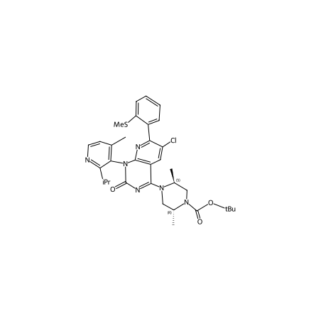 CSc1ccccc1-c1nc2c(cc1Cl)c(N1C[C@@H](C)N(C(=O)OC(C)(C)C)C[C@@H]1C)nc(=O)n2-c1c(C)ccnc1C(C)C